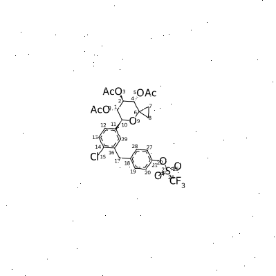 CC(=O)O[C@@H]1[C@@H](OC(C)=O)[C@H](OC(C)=O)C2(CC2)O[C@H]1c1ccc(Cl)c(Cc2ccc(OS(=O)(=O)C(F)(F)F)cc2)c1